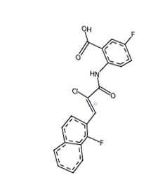 O=C(Nc1ccc(F)cc1C(=O)O)/C(Cl)=C/c1ccc2ccccc2c1F